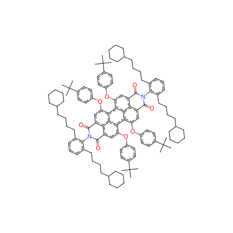 CC(C)(C)c1ccc(Oc2cc3c4c(cc(Oc5ccc(C(C)(C)C)cc5)c5c6c(Oc7ccc(C(C)(C)C)cc7)cc7c8c(cc(Oc9ccc(C(C)(C)C)cc9)c(c2c45)c86)C(=O)N(c2c(CCCCC4CCCCC4)cccc2CCCCC2CCCCC2)C7=O)C(=O)N(c2c(CCCCC4CCCCC4)cccc2CCCCC2CCCCC2)C3=O)cc1